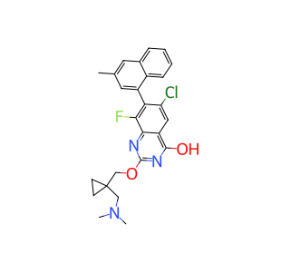 Cc1cc(-c2c(Cl)cc3c(O)nc(OCC4(CN(C)C)CC4)nc3c2F)c2ccccc2c1